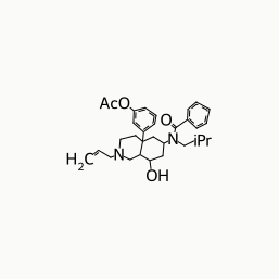 C=CCN1CCC2(c3cccc(OC(C)=O)c3)CC(N(CC(C)C)C(=O)c3ccccc3)CC(O)C2C1